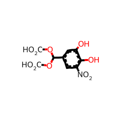 O=C(O)OC(OC(=O)O)c1cc(O)c(O)c([N+](=O)[O-])c1